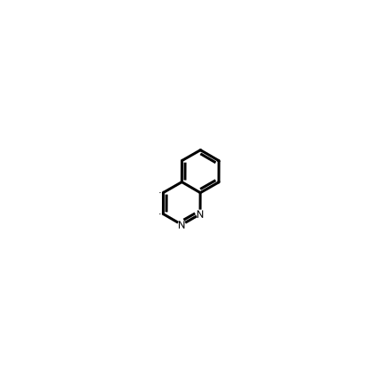 [c]1[c]c2ccccc2nn1